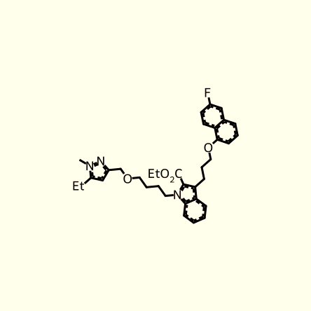 CCOC(=O)c1c(CCCOc2cccc3cc(F)ccc23)c2ccccc2n1CCCCOCc1cc(CC)n(C)n1